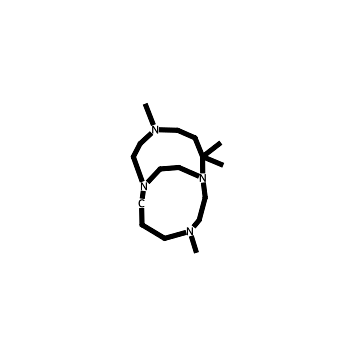 CN1CCCN2CCN(C)CCC(C)(C)N(CC1)CC2